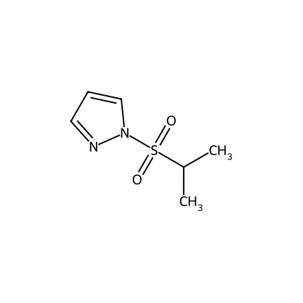 CC(C)S(=O)(=O)n1cccn1